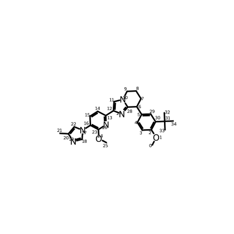 COc1ccc(C2CCCn3cc(-c4ccc(-n5cnc(C)c5)c(OC)n4)nc32)cc1C(C)(C)C